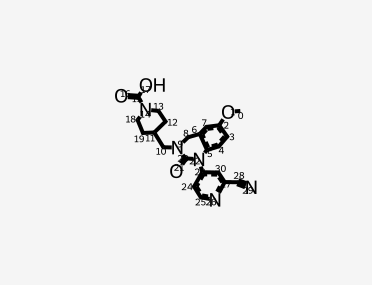 COc1ccc2c(c1)CN(CC1CCN(C(=O)O)CC1)C(=O)N2c1ccnc(C#N)c1